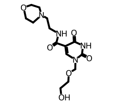 O=C(NCCN1CCOCC1)c1cn(COCCO)c(=O)[nH]c1=O